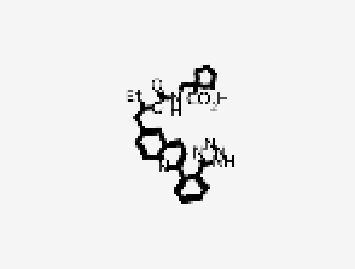 CCC(Cc1ccc2nc(-c3ccccc3-c3nnn[nH]3)ccc2c1)OC(=O)NCC1(C(=O)O)CCCC1